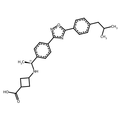 CC(C)Cc1ccc(-c2nc(-c3ccc([C@H](C)NC4CC(C(=O)O)C4)cc3)no2)cc1